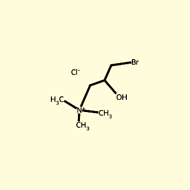 C[N+](C)(C)CC(O)CBr.[Cl-]